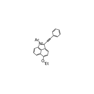 CCOc1ccc2c3c(cccc13)[N+](C(C)=O)=C2C#Cc1ccccc1